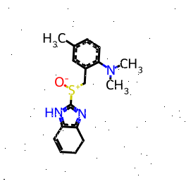 Cc1ccc(N(C)C)c(C[S+]([O-])c2nc3c([nH]2)C=CCC3)c1